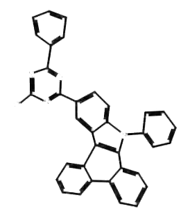 Clc1nc(-c2ccccc2)nc(-c2ccc3c(c2)c2c4ccccc4c4ccccc4c2n3-c2ccccc2)n1